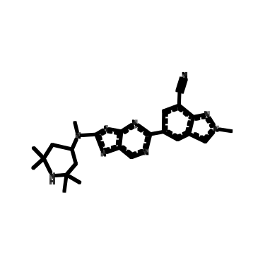 CN(c1nc2cnc(-c3cc(C#N)c4nn(C)cc4c3)nc2s1)C1CC(C)(C)NC(C)(C)C1